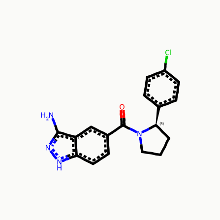 Nc1n[nH]c2ccc(C(=O)N3CCC[C@@H]3c3ccc(Cl)cc3)cc12